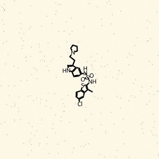 Cc1c(NS(=O)(=O)Nc2ccc3[nH]cc(CCN4CCCC4)c3c2)sc2ccc(Cl)cc12